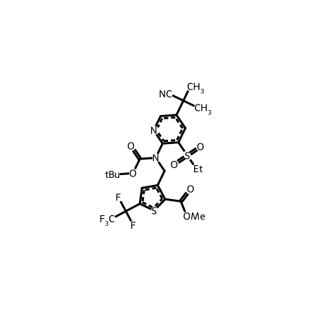 CCS(=O)(=O)c1cc(C(C)(C)C#N)cnc1N(Cc1cc(C(F)(F)C(F)(F)F)sc1C(=O)OC)C(=O)OC(C)(C)C